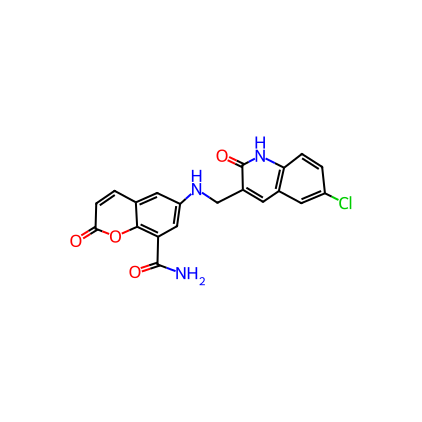 NC(=O)c1cc(NCc2cc3cc(Cl)ccc3[nH]c2=O)cc2ccc(=O)oc12